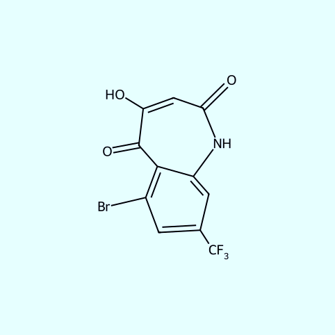 O=c1cc(O)c(=O)c2c(Br)cc(C(F)(F)F)cc2[nH]1